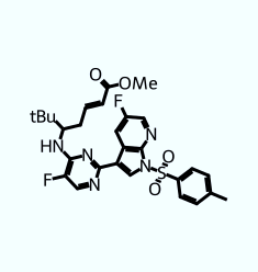 COC(=O)C=CCC(Nc1nc(-c2cn(S(=O)(=O)c3ccc(C)cc3)c3ncc(F)cc23)ncc1F)C(C)(C)C